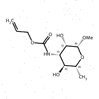 C=CCOC(=O)N[C@@H]1[C@H](O)[C@H](OC)O[C@H](C)[C@H]1O